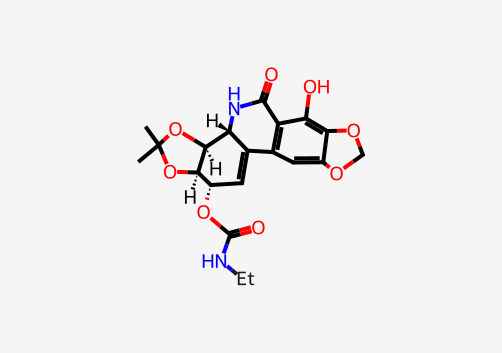 CCNC(=O)O[C@H]1C=C2c3cc4c(c(O)c3C(=O)N[C@H]2[C@@H]2OC(C)(C)O[C@@H]21)OCO4